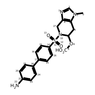 Cn1cnc2c1CC(OC(=O)O)N(S(=O)(=O)c1ccc(-c3ccc(N)cc3)cc1)C2